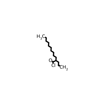 C=CCC(CCCCCCCCCC)C(=O)Cl